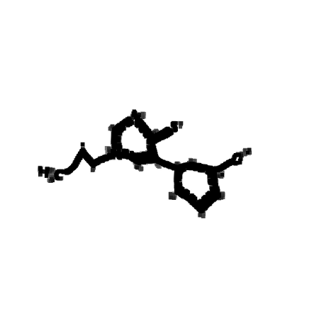 CCCn1cnc(=S)c(-c2cccc(Cl)c2)c1